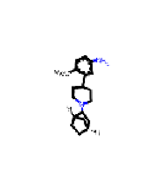 COc1ccc(N)cc1C1CCN([C@H]2C[C@H]3CC[C@H]2C3)CC1